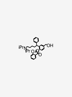 CC(=O)Oc1ccccc1C(=O)Oc1ccc(CO)cc1C(CCCCN(C(C)C)C(C)C)c1ccccc1